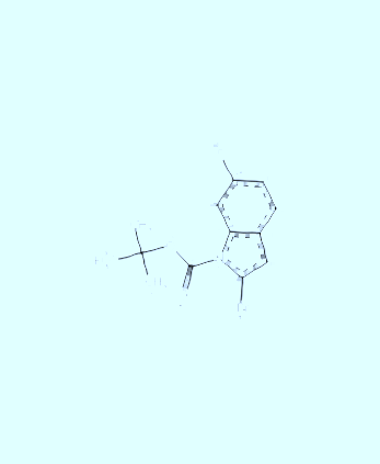 CC(C)(C)OC(=O)n1c(Br)cc2ccc(F)cc21